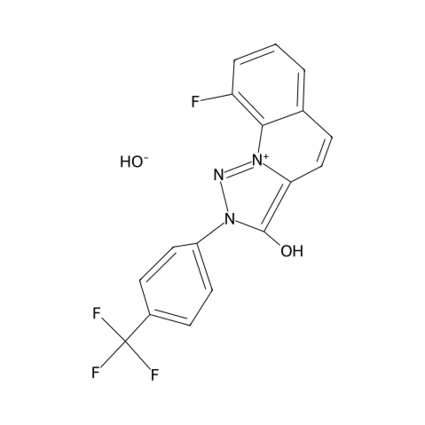 Oc1c2ccc3cccc(F)c3[n+]2nn1-c1ccc(C(F)(F)F)cc1.[OH-]